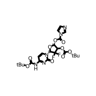 CC(C)(C)OC(=O)Nc1ccn([C@@H]2O[C@H](OC(=O)n3ccnc3)C(OC(=O)OC(C)(C)C)C2(F)F)c(=O)n1